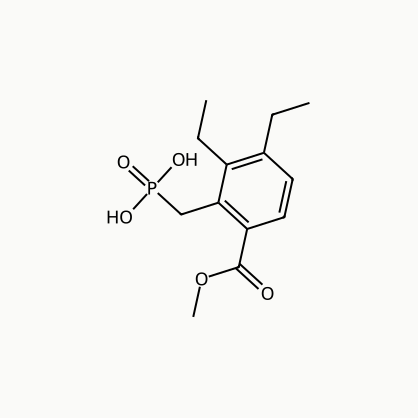 CCc1ccc(C(=O)OC)c(CP(=O)(O)O)c1CC